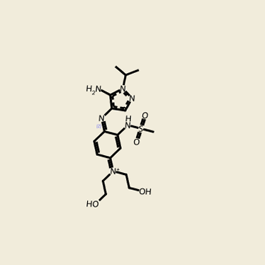 CC(C)n1ncc(/N=C2/C=CC(=[N+](CCO)CCO)C=C2NS(C)(=O)=O)c1N